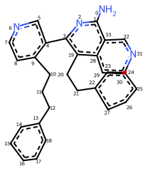 Nc1nc(-c2cnccc2CCCc2ccccc2)c(CCc2ccccc2)c2ccncc12